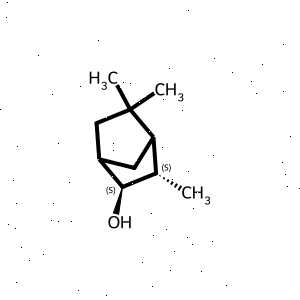 C[C@H]1C2CC(CC2(C)C)[C@@H]1O